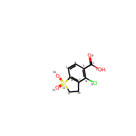 O=C(O)c1ccc2c(c1Cl)CCS2(=O)=O